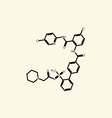 CS(=O)(=NC(=O)CN1CCCCC1)c1ccccc1-c1ccc(C(=O)Nc2ccc(Cl)cc2C(=O)Nc2ccc(Cl)cn2)cc1